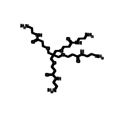 NCCNC(=O)CCOCC(COCCC(=O)NCCN)(COCCC(=O)NCCN)COCCC(=O)NCCN